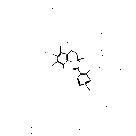 Cc1ccc(C(=O)OC2(C)CCc3c(C)c(O)c(C)c(C)c3O2)c(C)c1